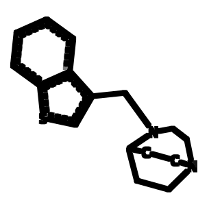 c1ccc2c(CN3CCN4CCC3CC4)csc2c1